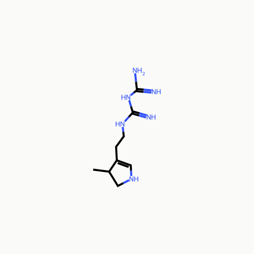 CC1CNC=C1CCNC(=N)NC(=N)N